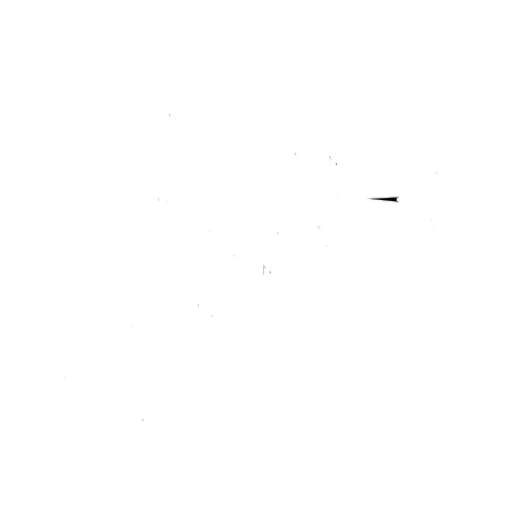 CC(=O)N1c2ccc(S(C)(=O)=O)cc2C(NC(=O)OCc2ccccc2)[C@@H](C)[C@@H]1C1CC1